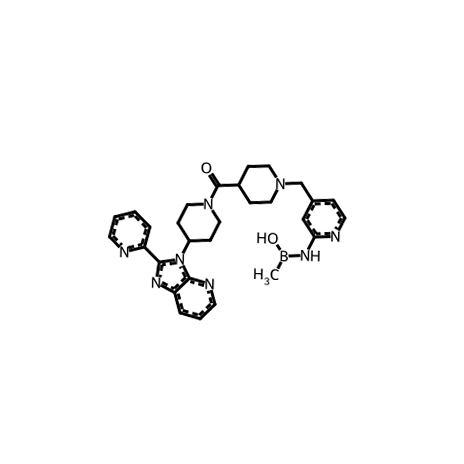 CB(O)Nc1cc(CN2CCC(C(=O)N3CCC(n4c(-c5ccccn5)nc5cccnc54)CC3)CC2)ccn1